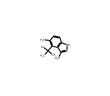 CCC(C)(C)c1c(C)ccc2[nH]nc(N)c12